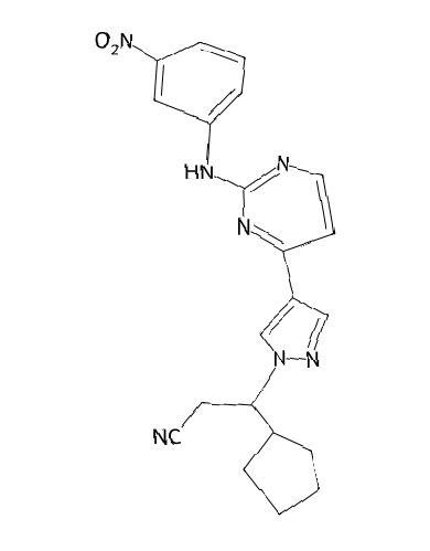 N#CCC(C1CCCC1)n1cc(-c2ccnc(Nc3cccc([N+](=O)[O-])c3)n2)cn1